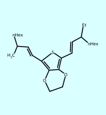 CCCCCCC(C)/C=C/c1sc(/C=C/C(CC)CCCCCC)c2c1OCCO2